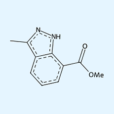 COC(=O)c1cccc2c(C)n[nH]c12